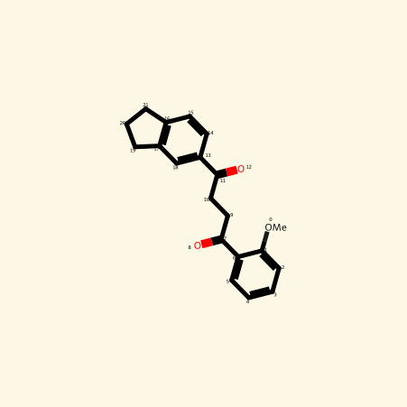 COc1ccccc1C(=O)CCC(=O)c1ccc2c(c1)CCC2